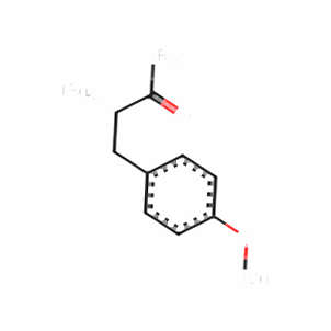 CC(C)(C)Oc1ccc(C[C@@H](C(=O)C(C)(C)C)C(C)(C)C)cc1